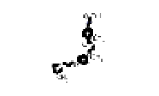 CCN(CCN(C)c1ccc(OCCCN2CCCC(C)C2)cc1)C(=O)c1ccc(/C=C/C(=O)O)cc1